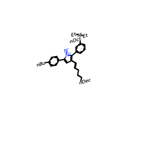 CCCCCCCCCCCCCC=CC1=C(c2cccc(CCCCCCCC)c2)[N+](=[N-])C(c2ccc(CCCC)cc2)=C1.C[CH2][Ni][CH2]C